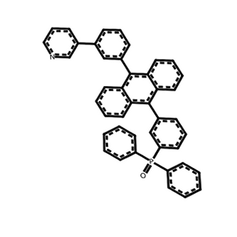 O=P(c1ccccc1)(c1ccccc1)c1cccc(-c2c3ccccc3c(-c3cccc(-c4cccnc4)c3)c3ccccc23)c1